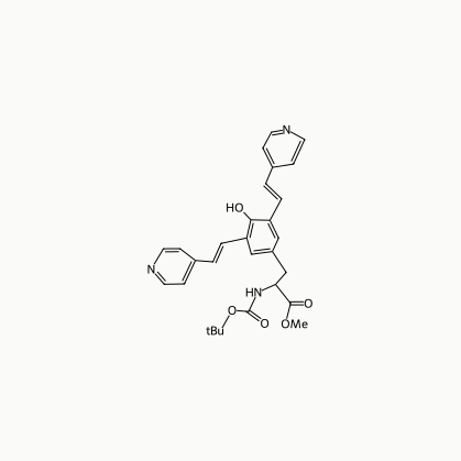 COC(=O)C(Cc1cc(/C=C/c2ccncc2)c(O)c(/C=C/c2ccncc2)c1)NC(=O)OC(C)(C)C